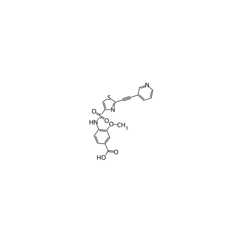 COc1cc(C(=O)O)ccc1NS(=O)(=O)c1csc(C#Cc2cccnc2)n1